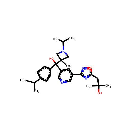 CC(C)c1ccc(C(O)(c2cncc(-c3noc(CC(C)(C)O)n3)c2)C2(C)CN(C(C)C)C2)cc1